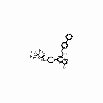 CC(C)(C)OC(=O)NC1CCN(c2nc(NCc3ccc(-c4ccccn4)cc3)n3ncc(Br)c3n2)CC1